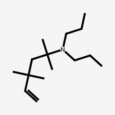 C=CC(C)(C)CC(C)(C)N(CCC)CCC